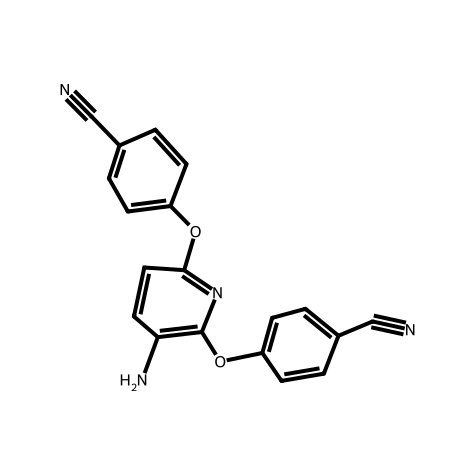 N#Cc1ccc(Oc2ccc(N)c(Oc3ccc(C#N)cc3)n2)cc1